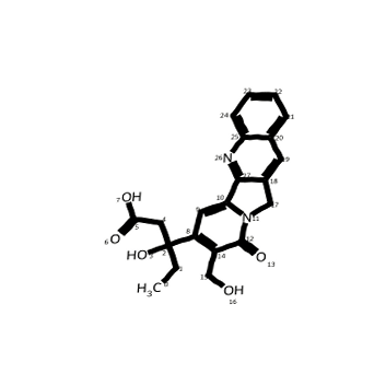 CCC(O)(CC(=O)O)c1cc2n(c(=O)c1CO)Cc1cc3ccccc3nc1-2